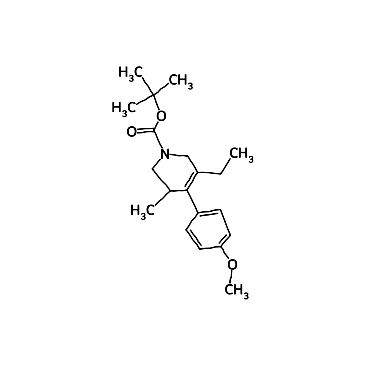 CCC1=C(c2ccc(OC)cc2)C(C)CN(C(=O)OC(C)(C)C)C1